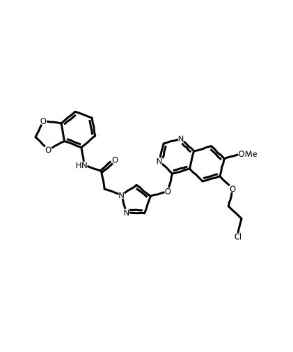 COc1cc2ncnc(Oc3cnn(CC(=O)Nc4cccc5c4OCO5)c3)c2cc1OCCCl